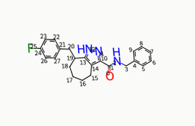 O=C(NCc1ccccc1)c1n[nH]c2c1CCCCC2Cc1ccc(F)cc1